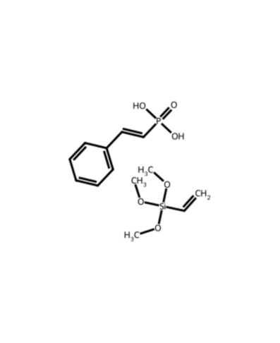 C=C[Si](OC)(OC)OC.O=P(O)(O)C=Cc1ccccc1